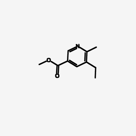 CCc1cc(C(=O)OC)cnc1C